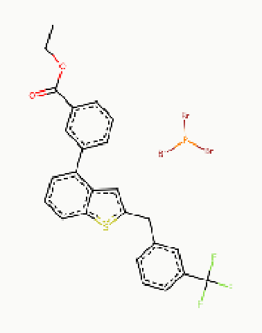 BrP(Br)Br.CCOC(=O)c1cccc(-c2cccc3sc(Cc4cccc(C(F)(F)F)c4)cc23)c1